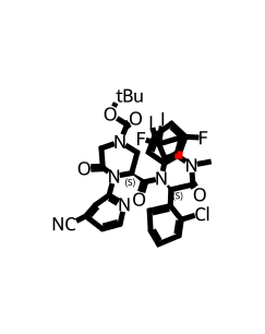 CN(C(=O)[C@H](c1ccccc1Cl)N(C(=O)[C@@H]1CN(C(=O)OC(C)(C)C)CC(=O)N1c1cc(C#N)ccn1)c1cc(F)cc(I)c1)C1CC(F)(I)C1